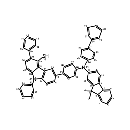 CC1(C)c2ccccc2-c2ccc(N(c3ccc(-c4ccccc4)cc3)c3ccc(-c4ccc5c(c4)c4c(S)c(-c6ccccc6)ccc4n5-c4ccccc4)cc3)cc21